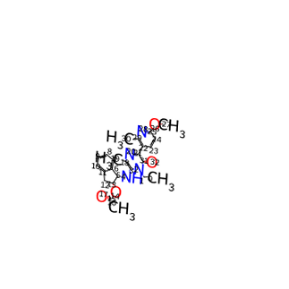 CCn1c(N[C@H]2c3ccccc3C[C@@H]2OC(C)=O)c(C)nc(-c2ccc(OC)nc2C)c1=O